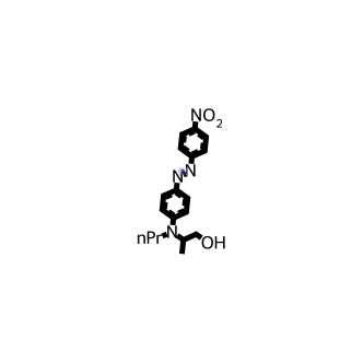 CCCN(c1ccc(/N=N/c2ccc([N+](=O)[O-])cc2)cc1)C(C)CO